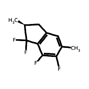 Cc1cc2c(c(F)c1F)C(F)(F)[C@@H](C)C2